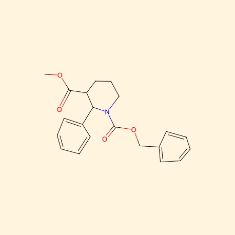 COC(=O)C1CCCN(C(=O)OCc2ccccc2)C1c1ccccc1